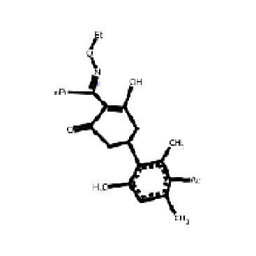 CCC/C(=N\OCC)C1=C(O)CC(c2c(C)cc(C)c(C(C)=O)c2C)CC1=O